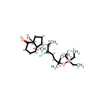 CC[Si](CC)(CC)OC(C)(C)CCC(F)C(C)[C@H]1CC[C@H]2C(=O)CCC[C@]12C